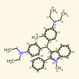 CCN(CC)c1ccc(C(c2ccc(N(CC)CC)cc2C)c2c(-c3ccccc3)n(C)c3ccccc23)cc1